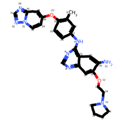 Cc1cc(Nc2ncnc3cc(OCCN4CCCC4)c(N)cc23)ccc1Oc1ccn2ncnc2c1